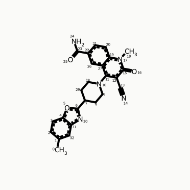 Cc1ccc2oc(C3CCN(c4c(C#N)c(=O)n(C)c5ccc(C(N)=O)cc45)CC3)nc2c1